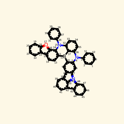 c1ccc(N2c3cc4c(cc3B3c5ccc6c(oc7ccccc76)c5N(c5ccccc5)c5cccc2c53)c2cccc3c5ccccc5n4c32)cc1